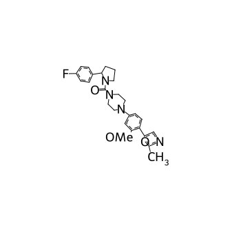 COc1cc(N2CCN(C(=O)N3CCCC3c3ccc(F)cc3)CC2)ccc1-c1cnc(C)o1